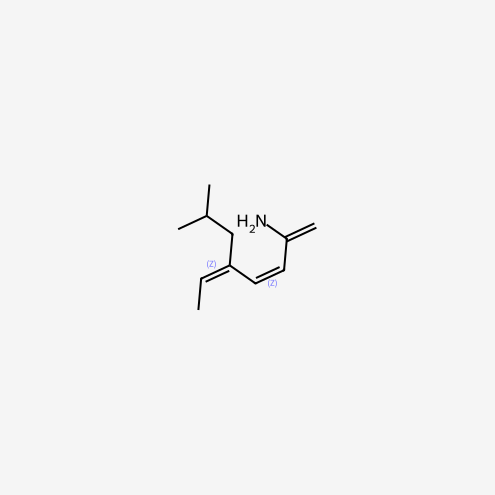 C=C(N)/C=C\C(=C/C)CC(C)C